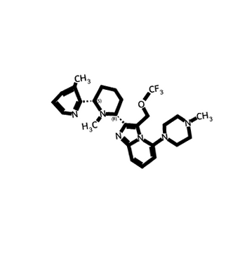 Cc1cccnc1[C@@H]1CCC[C@H](c2nc3cccc(N4CCN(C)CC4)n3c2COC(F)(F)F)N1C